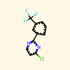 FC(F)(F)c1cccc(-c2nccc(Cl)n2)c1